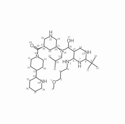 COCCCNC1NC(C(C)(C)C)NCC1C(O)N(CC(C)C)[C@@H]1CNC[C@H](C(=O)N2CCC(C3CCCCN3)CC2)C1